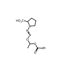 CC(ON=NN1CCCC1C(=O)O)OC(=O)C(C)C